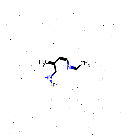 C=C(/C=C\N=C/C)CNC(C)C